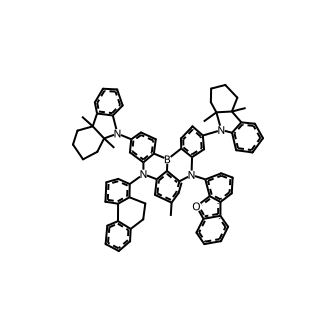 Cc1cc2c3c(c1)N(c1cccc4c1oc1ccccc14)c1cc(N4c5ccccc5C5(C)CCCCC45C)ccc1B3c1ccc(N3c4ccccc4C4(C)CCCCC34C)cc1N2c1cccc2c1CCc1ccccc1-2